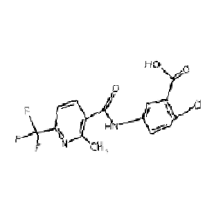 Cc1nc(C(F)(F)F)ccc1C(=O)Nc1ccc(Cl)c(C(=O)O)c1